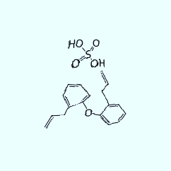 C=CCc1ccccc1Oc1ccccc1CC=C.O=S(=O)(O)O